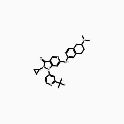 CN(C)C1CCc2cc(Nc3cc4c(cn3)c(=O)n(C3CC3)n4-c3ccnc(C(C)(C)F)c3)ccc2C1